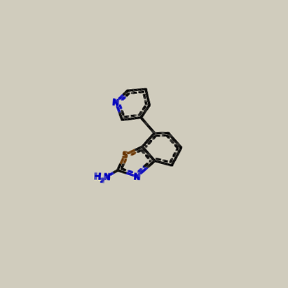 Nc1nc2cccc(-c3cccnc3)c2s1